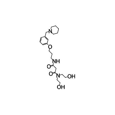 O=C(CC(=O)N(CCO)CCO)NCCCOc1cccc(CN2CCCCC2)c1